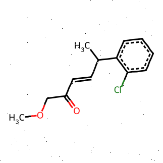 COCC(=O)/C=C/C(C)c1ccccc1Cl